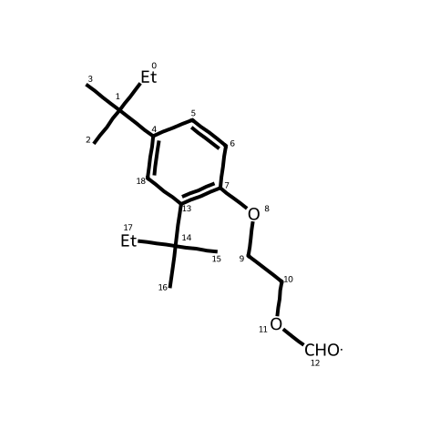 CCC(C)(C)c1ccc(OCCO[C]=O)c(C(C)(C)CC)c1